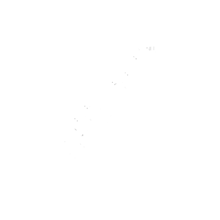 C[C@@H](Oc1c(N)ncc2c(-c3ccc(N4CCN(C(N)=O)CC4)nc3)coc12)c1c(Cl)ccc(F)c1Cl